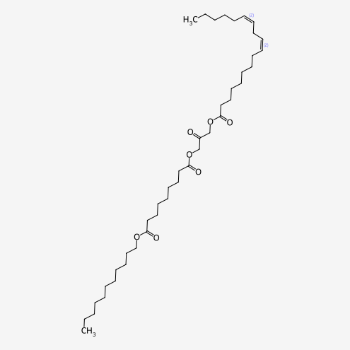 CCCCC/C=C\C/C=C\CCCCCCCC(=O)OCC(=O)COC(=O)CCCCCCCC(=O)OCCCCCCCCCCC